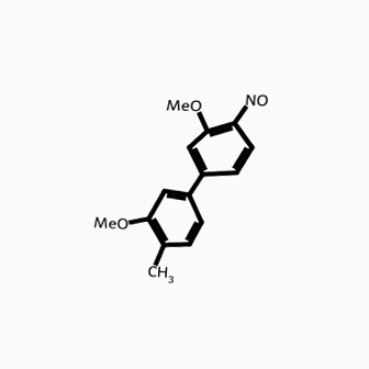 COc1cc(-c2ccc(N=O)c(OC)c2)ccc1C